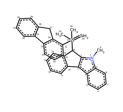 Cn1c2c(c3ccccc31)-c1ccccc1[CH]2[Zr]([CH3])([CH3])(=[SiH2])[c]1cccc2c1Cc1ccccc1-2